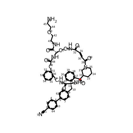 N#Cc1ccc(-c2ccc(C[C@@H]3NC(=O)[C@]4(Cc5ccccc5)CCCN(C4)C(=O)/C=C/C(=O)NCC[C@@H](C(=O)NCCOCCN)NC(=O)Cc4ccccc4CNC3=O)cc2)cc1